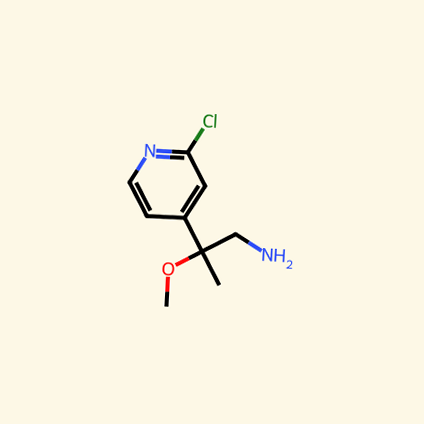 COC(C)(CN)c1ccnc(Cl)c1